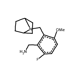 COc1ccc(F)c(CN)c1CN1C2CCC1CC2